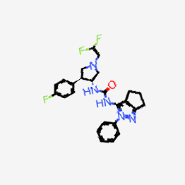 O=C(Nc1c2c(nn1-c1ccccc1)CCC2)N[C@H]1CN(CC(F)F)C[C@@H]1c1ccc(F)cc1